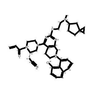 C=CC(=O)N1CCN(c2nc(OCCN(C)C3CCC4(CC4)C3)nc3c2CCN(c2cccc4cccc(Cl)c24)C3)C[C@@H]1CC#N